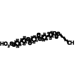 C#CC#CC#COC(=O)Oc1ccc(-c2ccc(OC(=O)[C@H]3CC[C@H](C(=O)Oc4ccc(-c5ccc(OC(=O)O)cc5)cc4)CC3)cc2)cc1